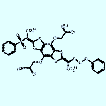 CCCCC(CC)COc1c2c(c(OCC(CC)CCCC)c3c1SC(=C(C(=O)O)S(=O)(=O)c1ccccc1)S3)SC(=C(SOOc1ccccc1)C(=O)O)S2